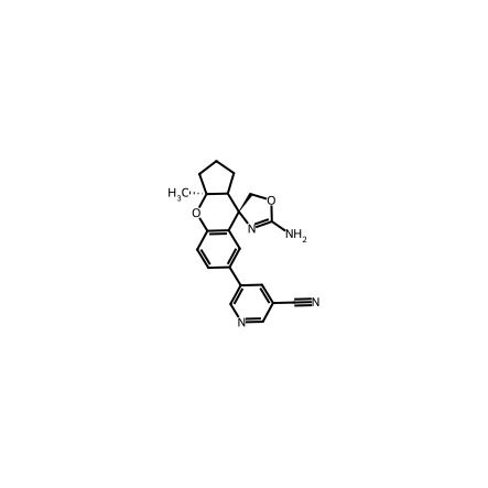 C[C@]12CCCC1[C@@]1(COC(N)=N1)c1cc(-c3cncc(C#N)c3)ccc1O2